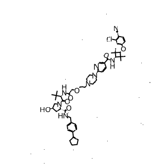 CC(C)(C)[C@H](NC(=O)COCCN1CCN(c2ccc(C(=O)N[C@H]3C(C)(C)[C@H](Oc4ccc(C#N)c(Cl)c4)C3(C)C)cn2)CC1)C(=O)N1C[C@H](O)C[C@H]1C(=O)NCc1ccc(C2CCCC2)cc1